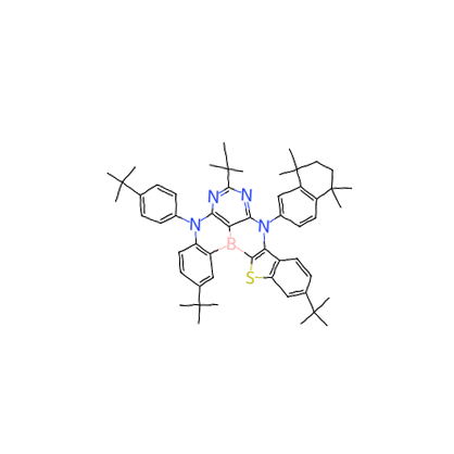 CC(C)(C)c1ccc(N2c3ccc(C(C)(C)C)cc3B3c4sc5cc(C(C)(C)C)ccc5c4N(c4ccc5c(c4)C(C)(C)CCC5(C)C)c4nc(C(C)(C)C)nc2c43)cc1